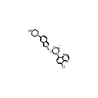 C[C@@H]1CN(c2ccc(Cl)c3nccnc23)C[C@H](Cn2cc3ccc(N4CCNCC4)cc3c2)O1